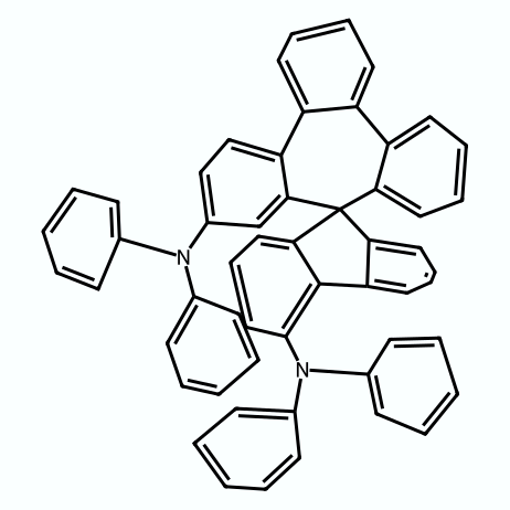 c1ccc(N(c2ccccc2)c2ccc3c(c2)C2(c4ccccc4-c4ccccc4-3)c3ccccc3-c3c(N(c4ccccc4)c4ccccc4)cccc32)cc1